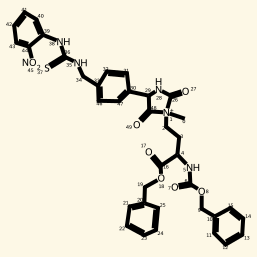 C[N+]1(CCC(NC(=O)OCc2ccccc2)C(=O)OCc2ccccc2)C(=O)NC(c2ccc(CNC(=S)Nc3ccccc3[N+](=O)[O-])cc2)C1=O